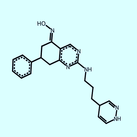 O/N=C1\CC(c2ccccc2)Cc2nc(NCCCC3C=CNN=C3)ncc21